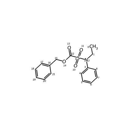 CCN(c1ccccc1)S(=O)(=O)C(=O)OCc1ccccc1